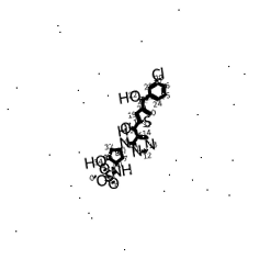 COS(=O)(=O)N[C@@H]1C[C@@H](Nc2ncncc2C(=O)c2cc([C@H](O)c3cccc(Cl)c3)cs2)C[C@@H]1O